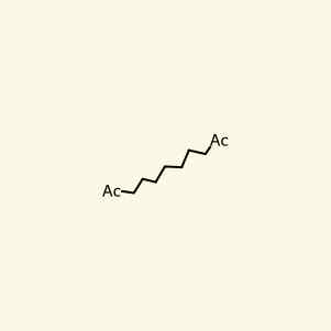 CC(=O)CCCCCCCC(C)=O